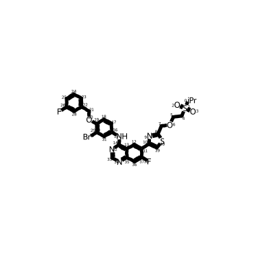 CC(C)S(=O)(=O)CCOCc1nc(-c2cc3c(Nc4ccc(OCc5cccc(F)c5)c(Br)c4)ncnc3cc2F)cs1